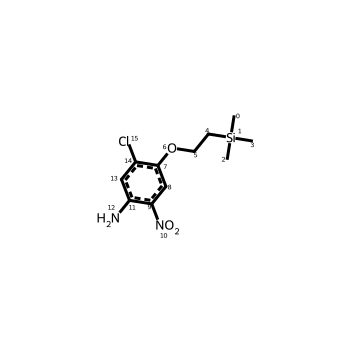 C[Si](C)(C)CCOc1cc([N+](=O)[O-])c(N)cc1Cl